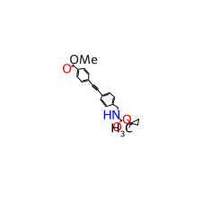 COC(=O)c1ccc(C#Cc2ccc(CNC(=O)OC3(C)CC3)cc2)cc1